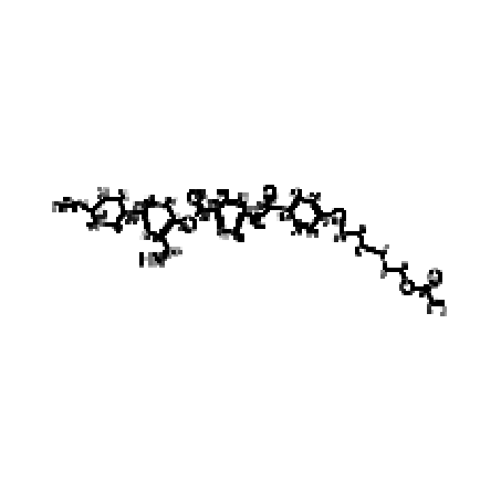 C=CC(=O)OCCCCCCOc1ccc(C(=O)Oc2ccc(C(=O)Oc3ccc(C4CCC(CCC)CC4)cc3C=N)cc2)cc1